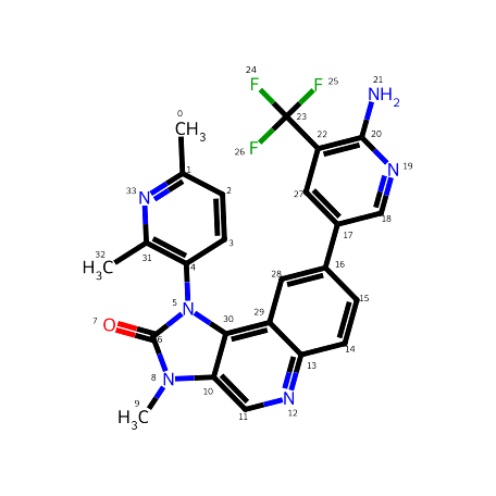 Cc1ccc(-n2c(=O)n(C)c3cnc4ccc(-c5cnc(N)c(C(F)(F)F)c5)cc4c32)c(C)n1